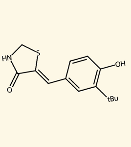 CC(C)(C)c1cc(/C=C2\SCNC2=O)ccc1O